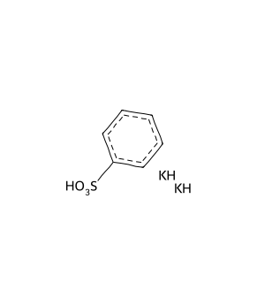 O=S(=O)(O)c1ccccc1.[KH].[KH]